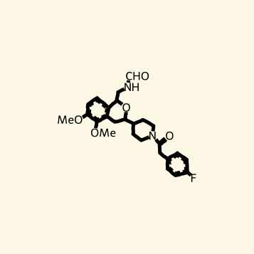 COc1ccc2c(c1OC)CC(C1CCN(C(=O)Cc3ccc(F)cc3)CC1)OC2CNC=O